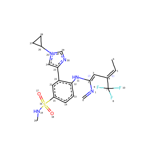 C=N/C(=C\C(=C/C)C(F)(F)F)Nc1ccc(S(=O)(=O)NC)cc1-c1cn(C2CC2)cn1